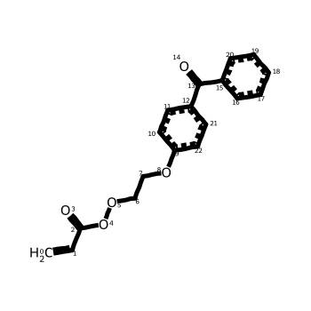 C=CC(=O)OOCCOc1ccc(C(=O)c2ccccc2)cc1